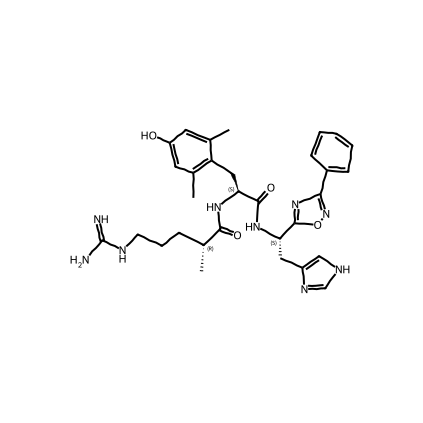 Cc1cc(O)cc(C)c1C[C@H](NC(=O)[C@H](C)CCCNC(=N)N)C(=O)N[C@@H](Cc1c[nH]cn1)c1nc(-c2ccccc2)no1